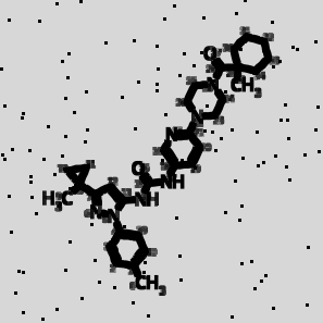 Cc1ccc(-n2nc(C3(C)CC3)cc2NC(=O)Nc2ccc(N3CCN(C(=O)C4(C)CCCCC4)CC3)nc2)cc1